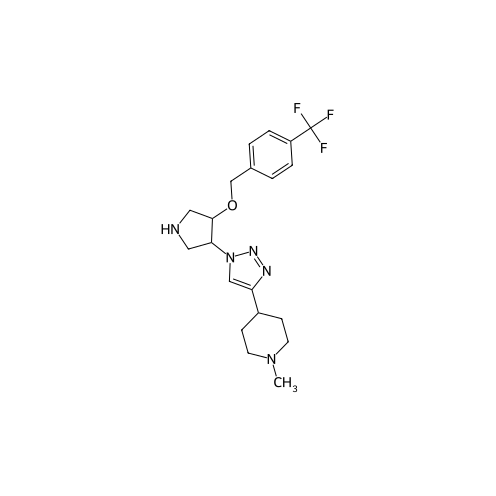 CN1CCC(c2cn(C3CNCC3OCc3ccc(C(F)(F)F)cc3)nn2)CC1